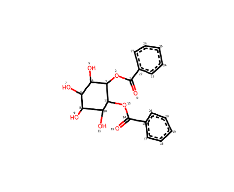 O=C(OC1C(O)C(O)C(O)C(O)C1OC(=O)c1ccccc1)c1ccccc1